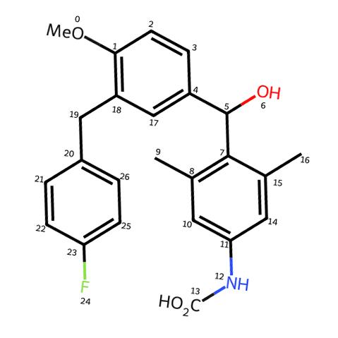 COc1ccc(C(O)c2c(C)cc(NC(=O)O)cc2C)cc1Cc1ccc(F)cc1